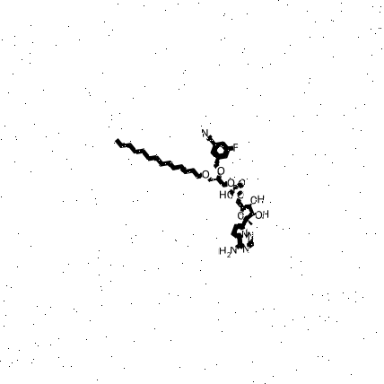 CCCCCCCCCCCCCCOC[C@H](COP(=O)(O)OCC1O[C@@](C)(c2ccc3c(N)ncnn23)[C@H](O)[C@@H]1O)OCc1cc(F)cc(C#N)c1